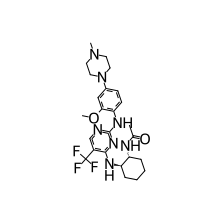 COc1cc(N2CCN(C)CC2)ccc1Nc1ncc(C(F)(F)F)c(N[C@@H]2CCCC[C@H]2NC(C)=O)n1